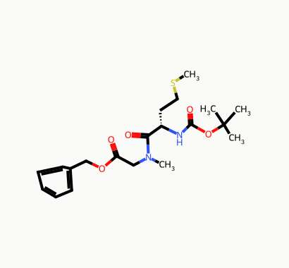 CSCC[C@H](NC(=O)OC(C)(C)C)C(=O)N(C)CC(=O)OCc1ccccc1